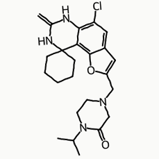 C=C1Nc2c(Cl)cc3cc(CN4CCN(C(C)C)C(=O)C4)oc3c2C2(CCCCC2)N1